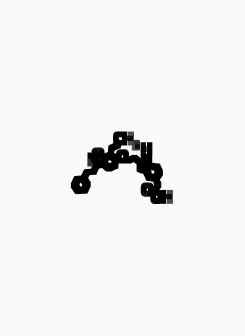 CCCc1c(OCCc2cc3cc(CC(=O)O)ccc3[nH]2)ccc2c(CCc3ccccc3)noc12